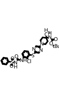 CC1(NC(=O)OC(C)(C)C)CCN(c2cnc(Sc3cccc(NC(=O)NS(=O)(=O)c4ccccc4)c3Cl)cn2)CC1